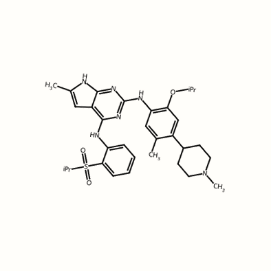 Cc1cc2c(Nc3ccccc3S(=O)(=O)C(C)C)nc(Nc3cc(C)c(C4CCN(C)CC4)cc3OC(C)C)nc2[nH]1